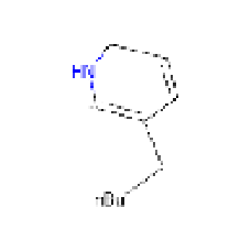 CCCCCC1=[C]NCC=C1